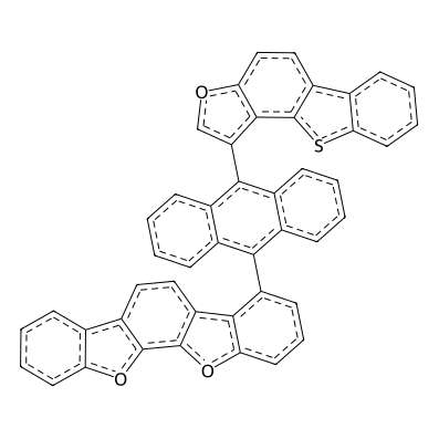 c1ccc2c(c1)oc1c2ccc2c1oc1cccc(-c3c4ccccc4c(-c4coc5ccc6c7ccccc7sc6c45)c4ccccc34)c12